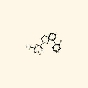 NC(N)=NC(=O)N1CCc2cccc(-c3ccncc3F)c2C1